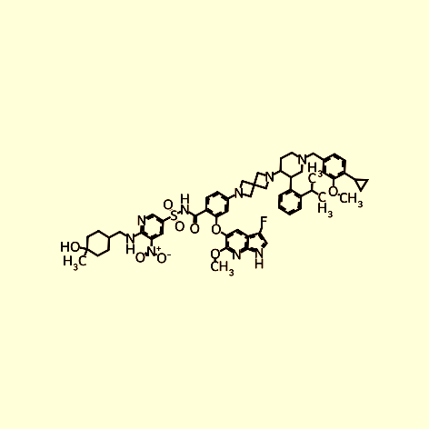 COc1cc(CN2CCC(N3CC4(CN(c5ccc(C(=O)NS(=O)(=O)c6cnc(NCC7CCC(C)(O)CC7)c([N+](=O)[O-])c6)c(Oc6cc7c(F)c[nH]c7nc6OC)c5)C4)C3)C(c3ccccc3C(C)C)C2)ccc1C1CC1